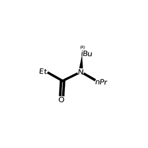 CCCN(C(=O)CC)[C@H](C)CC